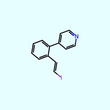 IC=Cc1ccccc1-c1ccncc1